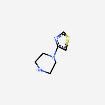 c1nc(N2CCNCC2)cs1